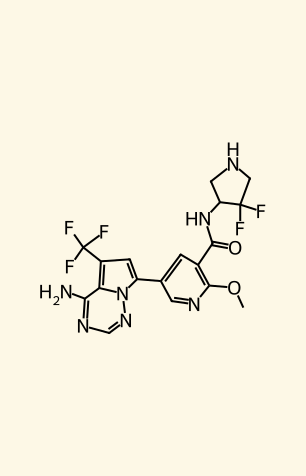 COc1ncc(-c2cc(C(F)(F)F)c3c(N)ncnn23)cc1C(=O)NC1CNCC1(F)F